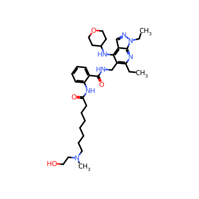 CCc1nc2c(cnn2CC)c(NC2CCOCC2)c1CNC(=O)c1ccccc1NC(=O)CCCCCCCN(C)CCO